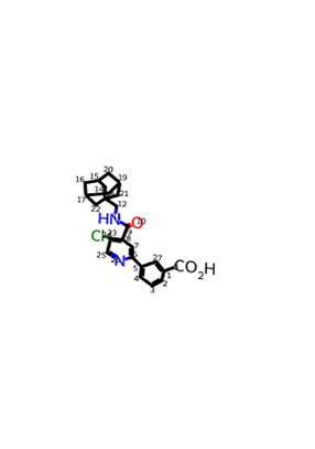 O=C(O)c1cccc(-c2cc(C(=O)NCC34CC5CC(CC(C5)C3)C4)c(Cl)cn2)c1